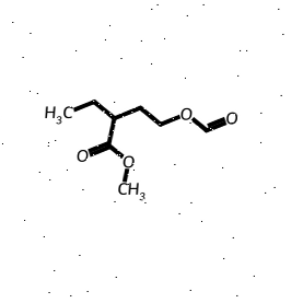 CCC(CCOC=O)C(=O)OC